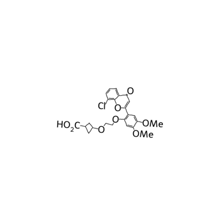 COc1cc(OCCOC2CC(C(=O)O)C2)c(-c2cc(=O)c3cccc(Cl)c3o2)cc1OC